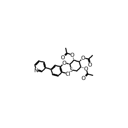 CC(=O)O[C@@H]1[C@@H](OC(C)=O)[C@H](OC(C)=O)CS[C@H]1Oc1cc(-c2cccnc2)ccc1Cl